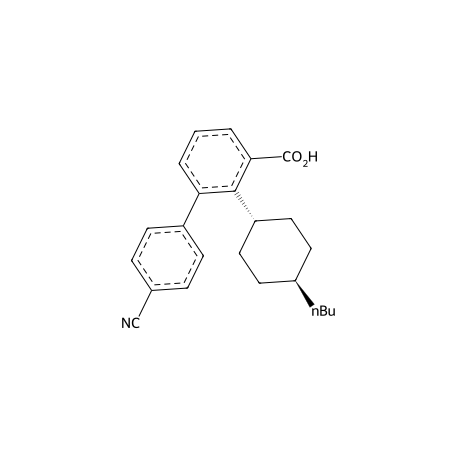 CCCC[C@H]1CC[C@H](c2c(C(=O)O)cccc2-c2ccc(C#N)cc2)CC1